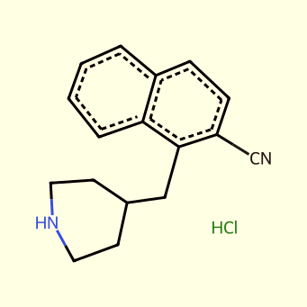 Cl.N#Cc1ccc2ccccc2c1CC1CCNCC1